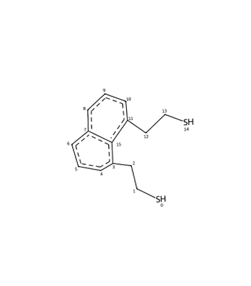 SCCc1cccc2cccc(CCS)c12